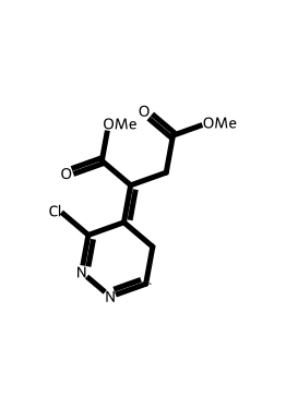 COC(=O)CC(C(=O)OC)=C1C[C]=NN=C1Cl